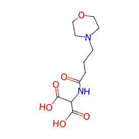 O=C(CCCN1CCOCC1)NC(C(=O)O)C(=O)O